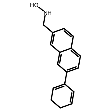 ONCc1ccc2ccc(C3=CCCC=C3)cc2c1